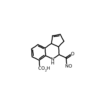 O=NC(=O)C1Nc2c(C(=O)O)cccc2C2C=CCC12